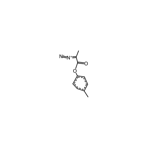 CC(=[N+]=[N-])C(=O)Oc1ccc(C)cc1